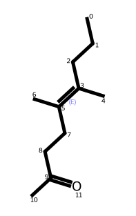 CCC/C(C)=C(\C)CCC(C)=O